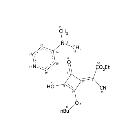 CCCCOC1=C(O)C(=O)C1=C(C#N)C(=O)OCC.CN(C)c1ccncc1